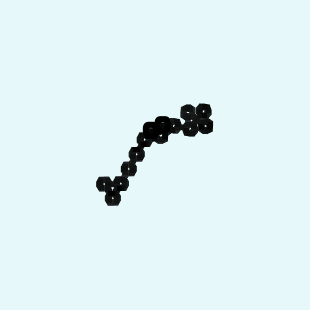 c1ccc(C2(c3ccccc3)c3ccccc3-c3c(-c4ccc5oc6c(ccc7c8cc(-c9ccc(-c%10ccc(-c%11ccc%12c%13ccccc%13c%13ccccc%13c%12c%11)cc%10)cc9)ccc8oc76)c5c4)cccc32)cc1